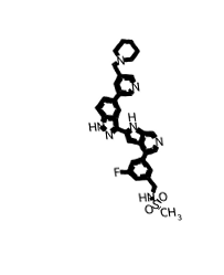 CS(=O)(=O)NCc1cc(F)cc(-c2cncc3[nH]c(-c4n[nH]c5ccc(-c6cncc(CN7CCCCC7)c6)cc45)cc23)c1